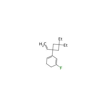 C=CC1(C2=CCCC(F)=C2)CC(CC)(CC)C1